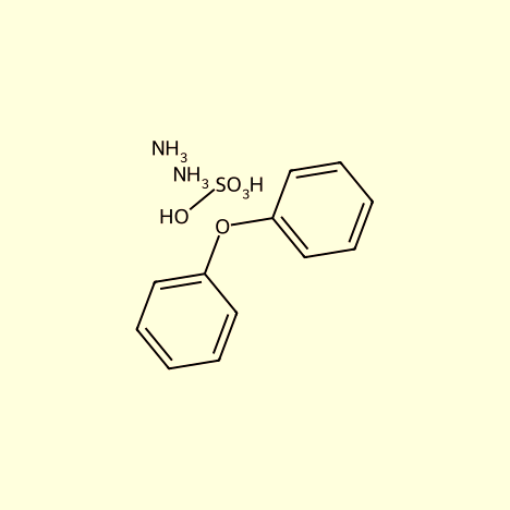 N.N.O=S(=O)(O)O.c1ccc(Oc2ccccc2)cc1